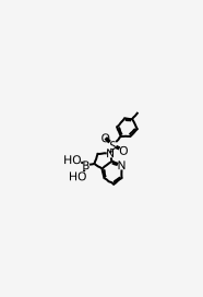 Cc1ccc(S(=O)(=O)N2CC(B(O)O)c3cccnc32)cc1